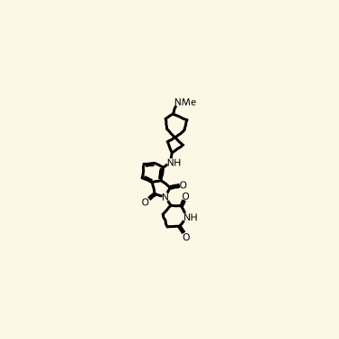 CNC1CCC2(CC1)CC(Nc1cccc3c1C(=O)N(C1CCC(=O)NC1=O)C3=O)C2